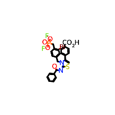 O=C(O)c1ccc(-c2csc(=NC(=O)c3ccccc3)n2Cc2ccc(CP(=O)(OF)OF)c(Br)c2)cc1